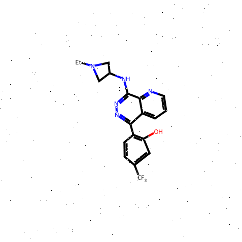 CCN1CC(Nc2nnc(-c3ccc(C(F)(F)F)cc3O)c3cccnc23)C1